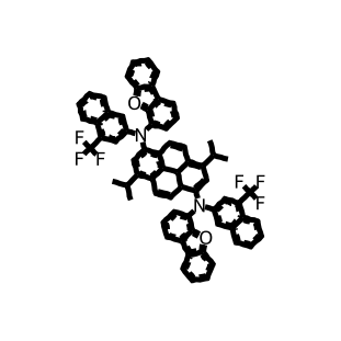 CC(C)C1=C2C=Cc3c(N(c4cc(C(F)(F)F)c5ccccc5c4)c4cccc5c4oc4ccccc45)cc(C(C)C)c4c3C2C(C=C4)C(N(c2cc(C(F)(F)F)c3ccccc3c2)c2cccc3c2oc2ccccc23)=C1